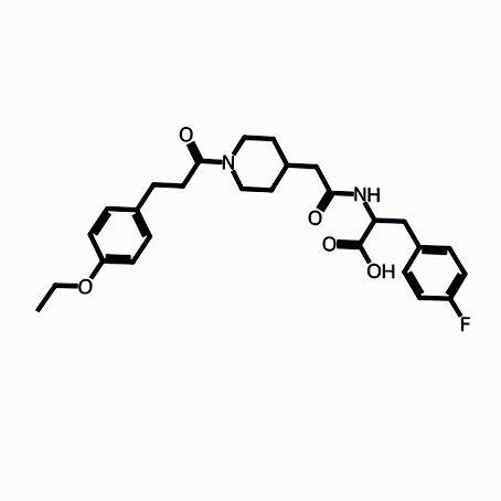 CCOc1ccc(CCC(=O)N2CCC(CC(=O)NC(Cc3ccc(F)cc3)C(=O)O)CC2)cc1